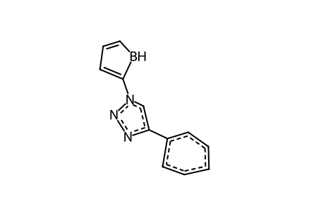 B1C=CC=C1n1cc(-c2ccccc2)nn1